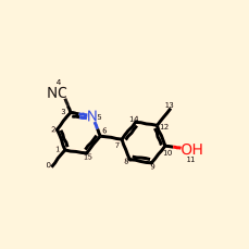 Cc1cc(C#N)nc(-c2ccc(O)c(C)c2)c1